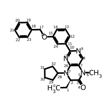 CC[C@@H]1C(=O)N(C)c2cnc(-c3cccc(OCc4ccccc4)c3)nc2N1C1CCCC1